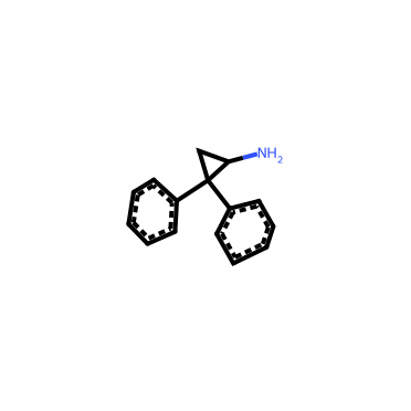 NC1CC1(c1ccccc1)c1ccccc1